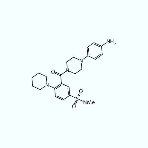 CNS(=O)(=O)c1ccc(N2CCCCC2)c(C(=O)N2CCN(c3ccc(N)cc3)CC2)c1